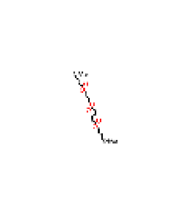 COCCCCOC(=O)/C=C\C=C/C(=O)OCCCCOC(=O)CCCOC